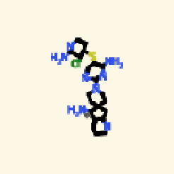 Nc1nc(N2CCC3(CC2)Cc2ncccc2[C@H]3N)ncc1Sc1ccnc(N)c1Cl